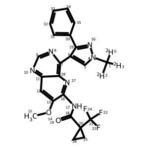 [2H]C([2H])([2H])n1cc(-c2ncnc3cc(OC)c(NC(=O)C4(C(F)(F)F)CC4)nc23)c(-c2ccccc2)n1